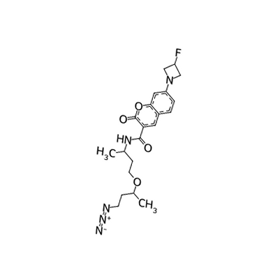 CC(CCOC(C)CCN=[N+]=[N-])NC(=O)c1cc2ccc(N3CC(F)C3)cc2oc1=O